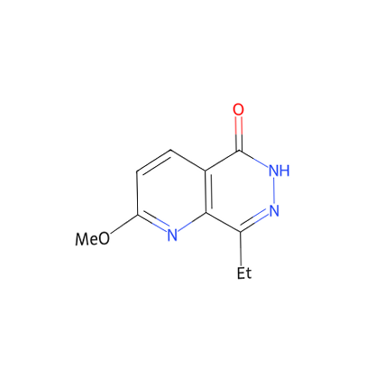 CCc1n[nH]c(=O)c2ccc(OC)nc12